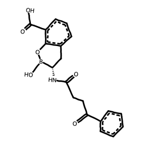 O=C(CCC(=O)c1ccccc1)N[C@H]1Cc2cccc(C(=O)O)c2OB1O